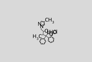 Cc1cnn(CC2OC(=O)C(c3ccccc3)(c3ccccc3)C2C)c1.Cl.O